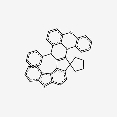 c1ccc(N2C3=C(N4c5ccccc5Oc5cccc2c54)C2(CCCC2)c2ccc4sc5ccccc5c4c23)cc1